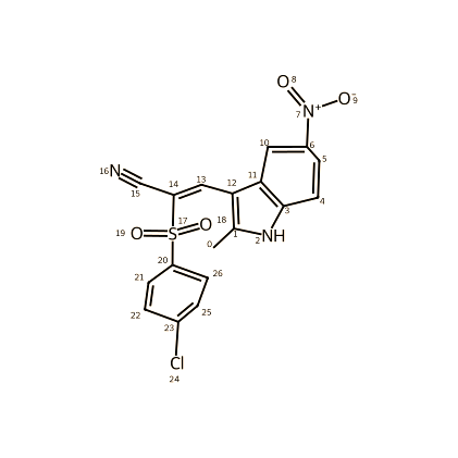 Cc1[nH]c2ccc([N+](=O)[O-])cc2c1C=C(C#N)S(=O)(=O)c1ccc(Cl)cc1